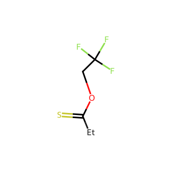 CCC(=S)OCC(F)(F)F